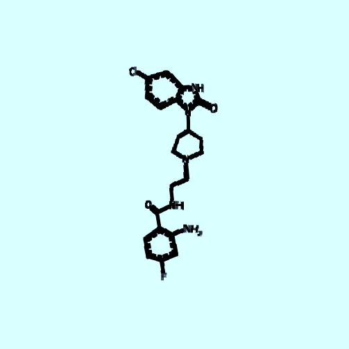 Nc1cc(F)ccc1C(=O)NCCN1CCC(n2c(=O)[nH]c3cc(Cl)ccc32)CC1